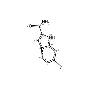 Cc1ccc2nc(C(N)=O)[nH]c2c1